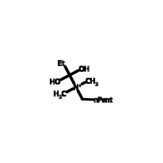 CCCCCC[N+](C)(C)C(O)(O)CC